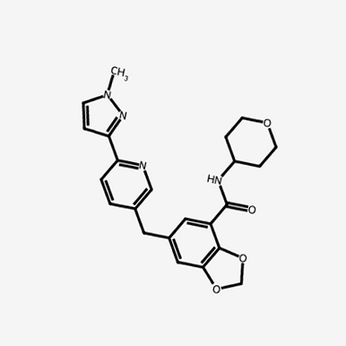 Cn1ccc(-c2ccc(Cc3cc4c(c(C(=O)NC5CCOCC5)c3)OCO4)cn2)n1